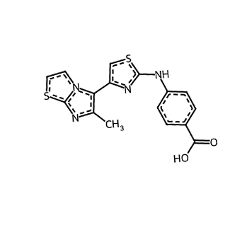 Cc1nc2sccn2c1-c1csc(Nc2ccc(C(=O)O)cc2)n1